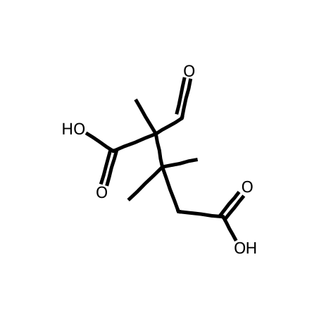 CC(C)(CC(=O)O)C(C)(C=O)C(=O)O